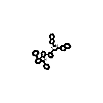 c1ccc(-c2nc3c(-c4cccc(-c5cc(-c6ccc7ccccc7c6)nc(-c6ccc7ccccc7c6)n5)c4)cccc3c3c(-c4ccccc4)cccc23)cc1